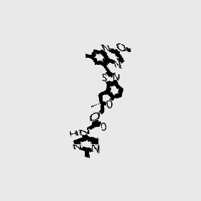 COc1cnc2c(-c3nc4ccc5c(c4s3)C[C@](C)(COC(=O)Nc3cnc(C)nc3)O5)cc(C)cc2n1